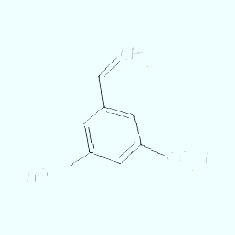 C=Cc1cc(C(=O)O)cc(S(=O)(=O)O)c1